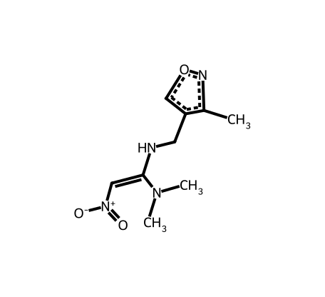 Cc1nocc1CNC(=C[N+](=O)[O-])N(C)C